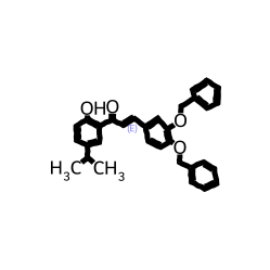 CC(C)c1ccc(O)c(C(=O)/C=C/c2ccc(OCc3ccccc3)c(OCc3ccccc3)c2)c1